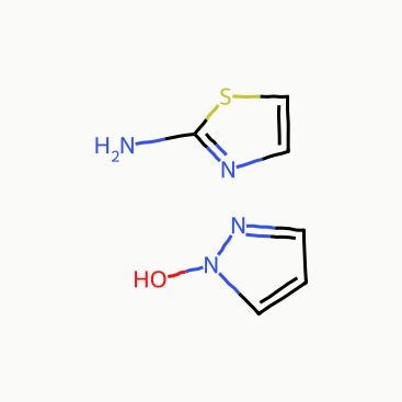 Nc1nccs1.On1cccn1